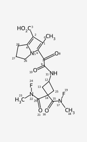 Cc1c(C(=O)O)c2n(c1C(=O)C(=O)NC1CC(C(=O)N(C)F)(C(=O)N(C)F)C1)CCC2